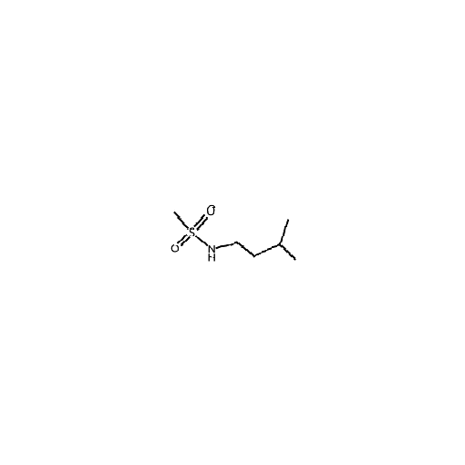 CC(C)CCNS(C)(=O)=O